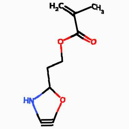 C=C(C)C(=O)OCCC1NC#CO1